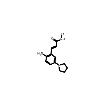 CCNC(=O)C=Cc1cc(N2CCCC2)ccc1N